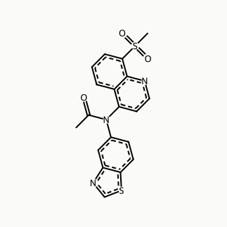 CC(=O)N(c1ccc2scnc2c1)c1ccnc2c(S(C)(=O)=O)cccc12